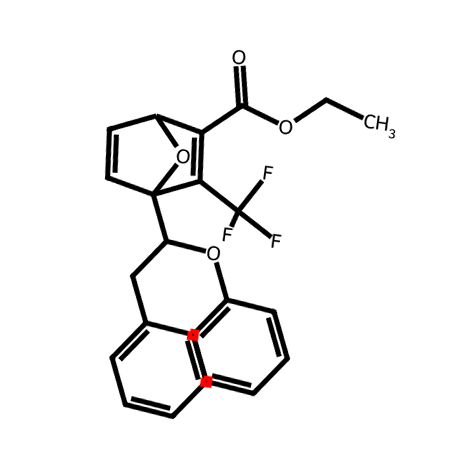 CCOC(=O)C1=C(C(F)(F)F)C2(C(Cc3ccccc3)Oc3ccccc3)C=CC1O2